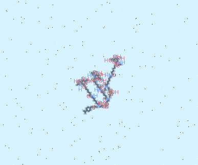 CC(=O)NC1C(OCCCCCC(=O)NCCCCCC(=O)N(CCO)CCOP(=O)(O)OCCN(CCOP(=O)(O)OCCN(CCOCC2CCC(C(C)C)CC2)C(=O)CCCCCNC(=O)CCCCCOC2OC(CO)C(O)C(O)C2NC(C)=O)C(=O)CCCCCNC(=O)CCCCCOC2OC(CO)C(O)C(O)C2NC(C)=O)OC(CO)C(O)C1O